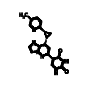 Cc1ccc([C@H]2C[C@@H]2c2cc(-c3c[nH]c(=O)[nH]c3=O)nn3ccnc23)nc1